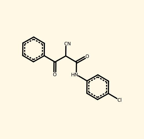 N#CC(C(=O)Nc1ccc(Cl)cc1)C(=O)c1ccccc1